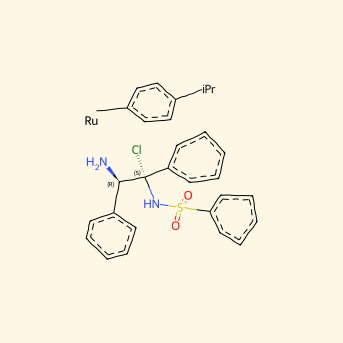 Cc1ccc(C(C)C)cc1.N[C@H](c1ccccc1)[C@](Cl)(NS(=O)(=O)c1ccccc1)c1ccccc1.[Ru]